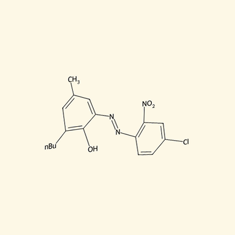 CCCCc1cc(C)cc(N=Nc2ccc(Cl)cc2[N+](=O)[O-])c1O